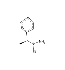 CCN(N)[C@@H](C)c1ccccc1